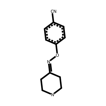 N#Cc1ccc(ON=C2CC[N]CC2)cc1